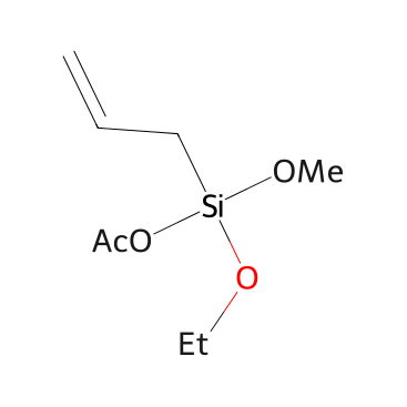 C=CC[Si](OC)(OCC)OC(C)=O